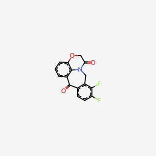 O=C1c2ccc(F)c(F)c2CN2C(=O)COc3cccc1c32